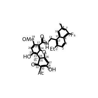 CCc1ccc2c(F)cc(C)cc2c1CNC(=O)c1c(OC)cc(O)c2c1OC1=CC(O)=C(C(C)=O)C(=O)[C@]12C